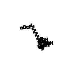 CCCCCCCC/C=C\CCCCCCCC(=O)O[C@@H](C1OCCO1)[C@@H](O)[C@H](O)CO